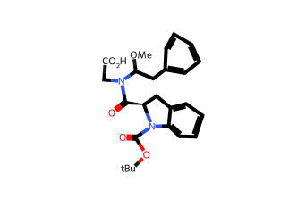 COC(Cc1ccccc1)N(CC(=O)O)C(=O)[C@H]1Cc2ccccc2N1C(=O)OC(C)(C)C